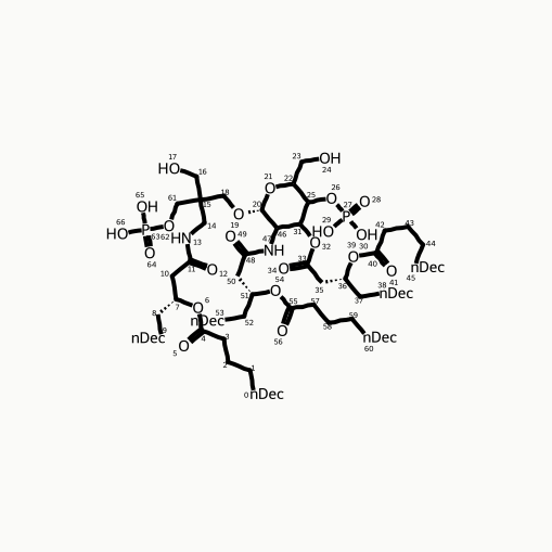 CCCCCCCCCCCCCC(=O)O[C@H](CCCCCCCCCCC)CC(=O)NCC(CO)(CO[C@@H]1OC(CO)C(OP(=O)(O)O)C(OC(=O)C[C@@H](CCCCCCCCCCC)OC(=O)CCCCCCCCCCCCC)C1NC(=O)C[C@@H](CCCCCCCCCCC)OC(=O)CCCCCCCCCCCCC)COP(=O)(O)O